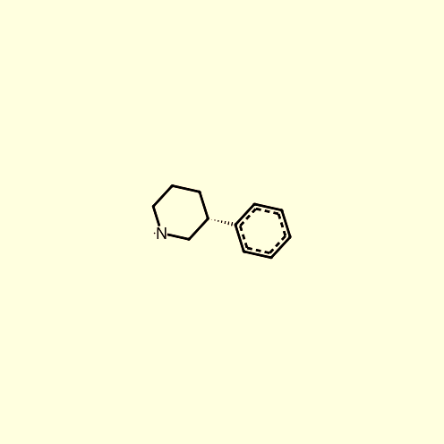 c1ccc([C@H]2CCC[N]C2)cc1